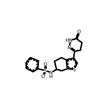 O=C1CCC(c2csc3c2CCC(NS(=O)(=O)c2ccccc2)C3)=NN1